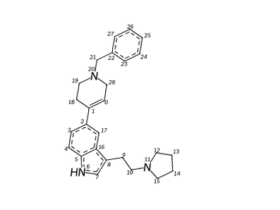 C1=C(c2ccc3[nH]cc(CCN4CCCC4)c3c2)CCN(Cc2ccccc2)C1